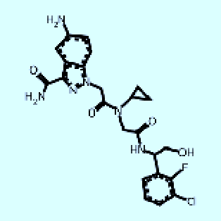 NC(=O)c1nn(CC(=O)N(CC(=O)NC(CO)c2cccc(Cl)c2F)C2CC2)c2ccc(N)cc12